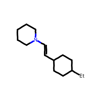 CCC1CCC(C=CN2CCCCC2)CC1